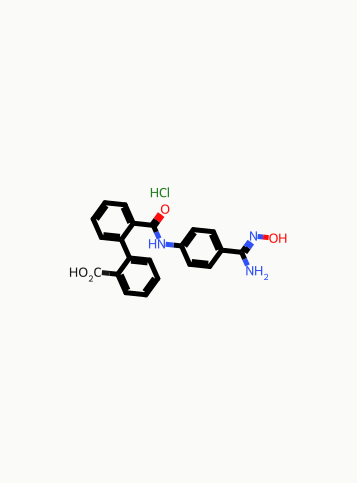 Cl.NC(=NO)c1ccc(NC(=O)c2ccccc2-c2ccccc2C(=O)O)cc1